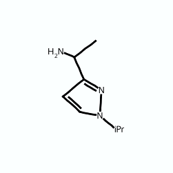 CC(N)c1ccn(C(C)C)n1